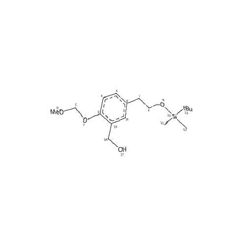 COCOc1ccc(CCO[Si](C)(C)C(C)(C)C)cc1CO